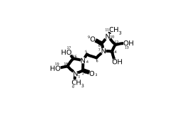 CN1C(=O)N(CCN2C(=O)N(C)C(O)C2O)C(O)C1O